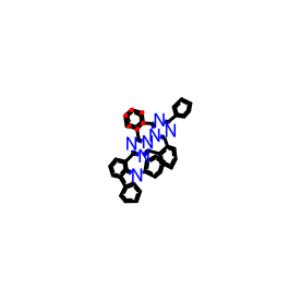 c1ccc(-c2nc(-c3ccccc3)nc(-c3ccccc3-c3nc(-c4ccccc4)nc(-c4cccc5c6ccccc6n(-c6ccccc6)c45)n3)n2)cc1